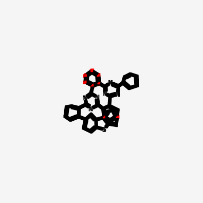 c1ccc(-c2nc(-c3ccccc3)nc(-c3ccccc3-c3nc(-c4ccccc4)nc(-c4ccccc4-c4ccc5sc6ccccc6c5c4)n3)n2)cc1